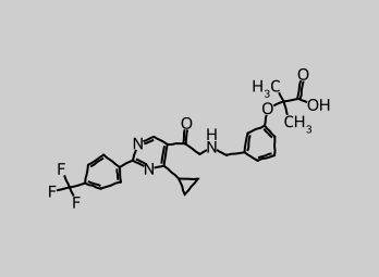 CC(C)(Oc1cccc(CNCC(=O)c2cnc(-c3ccc(C(F)(F)F)cc3)nc2C2CC2)c1)C(=O)O